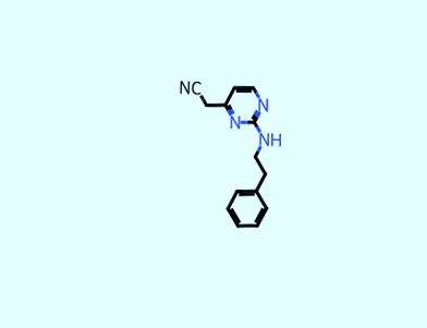 N#CCc1ccnc(NCCc2ccccc2)n1